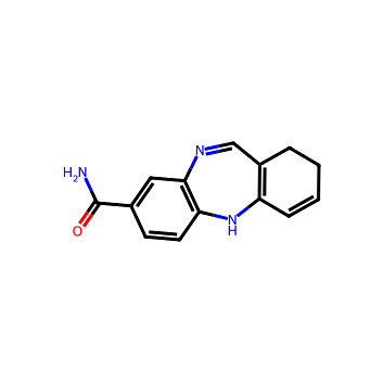 NC(=O)c1ccc2c(c1)N=CC1=C(C=CCC1)N2